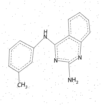 Cc1cccc(Nc2nc(N)nc3ccccc23)c1